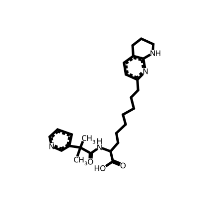 CC(C)(C(=O)NC(CCCCCCCc1ccc2c(n1)NCCC2)C(=O)O)c1cccnc1